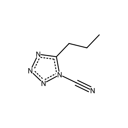 CCCc1nnnn1C#N